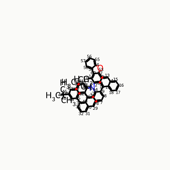 Cc1c(N(c2ccccc2-c2cccc3ccccc23)c2ccccc2-c2cccc3cccc(-c4cc(C(C)(C)C)cc(C(C)(C)C)c4)c23)ccc2oc3ccccc3c12